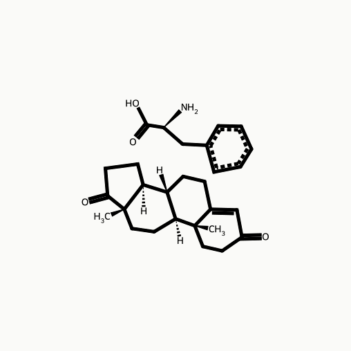 C[C@]12CCC(=O)C=C1CC[C@@H]1[C@@H]2CC[C@]2(C)C(=O)CC[C@@H]12.N[C@@H](Cc1ccccc1)C(=O)O